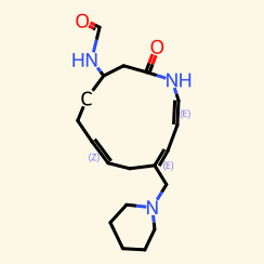 O=CNC1CC/C=C\C/C(CN2CCCCC2)=C\C=C\NC(=O)C1